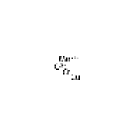 [Cr].[Cu].[Mn+2].[O-2]